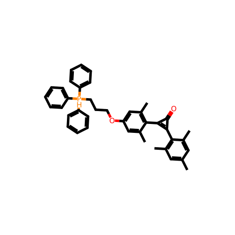 Cc1cc(C)c(-c2c(-c3c(C)cc(OCCC[PH](c4ccccc4)(c4ccccc4)c4ccccc4)cc3C)c2=O)c(C)c1